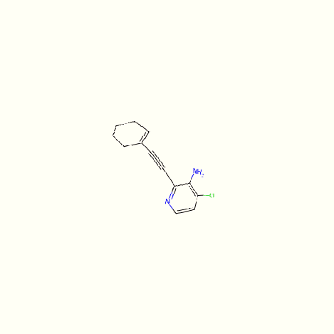 Nc1c(Cl)ccnc1C#CC1=CCCCC1